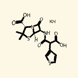 CC1(C)S[C@@H]2[C@H](NC(=O)C(C(=O)O)c3ccsc3)C(=O)N2[C@H]1C(=O)O.[KH]